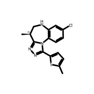 Cc1ccc(-c2nnc3n2-c2ccc(Cl)cc2NC[C@@H]3C)s1